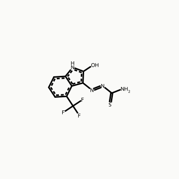 NC(=S)N=Nc1c(O)[nH]c2cccc(C(F)(F)F)c12